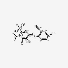 CC(C)n1c(S(C)(=O)=O)nc(OCc2ccc(F)cc2C#N)c(Br)c1=O